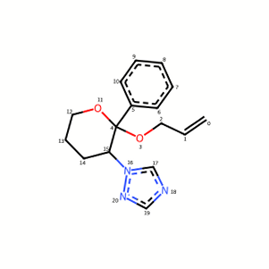 C=CCOC1(c2ccccc2)OCCCC1n1cncn1